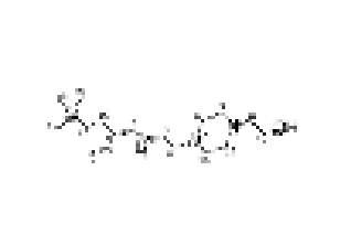 C=C/C(=C\NCCN1CCN(CCO)CC1)CC[Si](C)(C)C